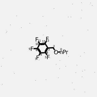 CCCOCc1c(F)c(F)c(F)c(F)c1F